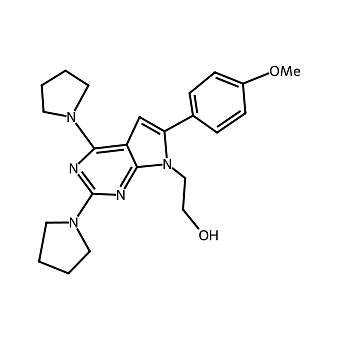 COc1ccc(-c2cc3c(N4CCCC4)nc(N4CCCC4)nc3n2CCO)cc1